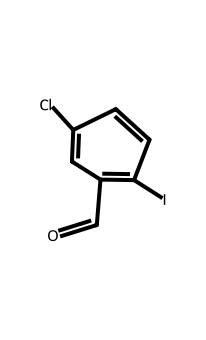 O=Cc1cc(Cl)ccc1I